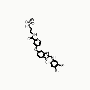 CCc1ccc(Nc2nc3cc(Oc4ccnc(C(=O)NCCNS(=O)(=O)C(C)C)c4)ccc3n2C)cc1C(C)C